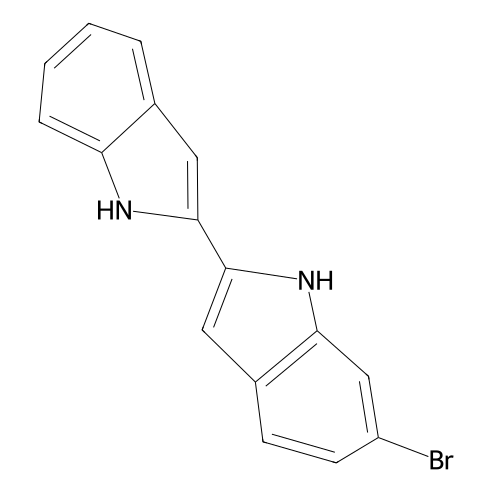 Brc1ccc2cc(-c3cc4ccccc4[nH]3)[nH]c2c1